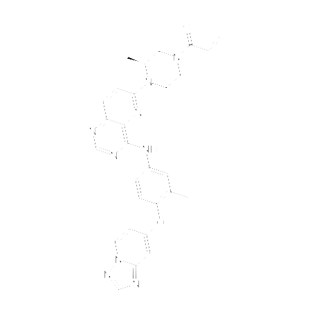 C=CC(=O)N1CCN(c2ccc3ncnc(Nc4ccc(Oc5ccn6ncnc6c5)c(C)c4)c3n2)[C@@H](C)C1